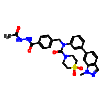 Cn1ncc2ccc(-c3cccc(N(Cc4ccc(C(=O)NNC(=O)C(F)(F)F)cc4)C(=O)N4CCS(=O)(=O)CC4)c3)cc21